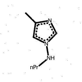 CCCNn1cnc(C)c1